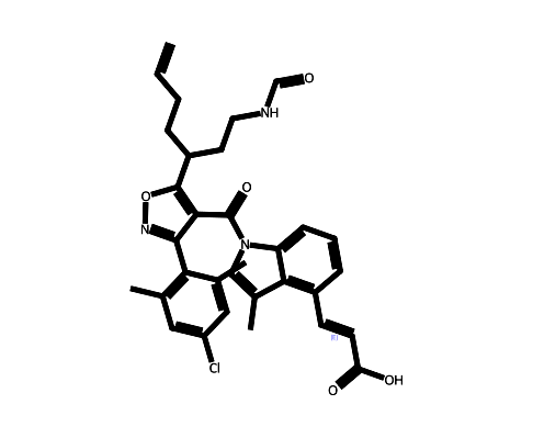 C=CCCC(CCNC=O)c1onc(-c2c(C)cc(Cl)cc2C)c1C(=O)n1cc(C)c2c(/C=C/C(=O)O)cccc21